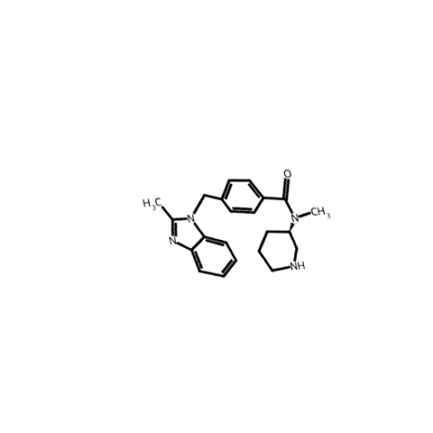 Cc1nc2ccccc2n1Cc1ccc(C(=O)N(C)[C@@H]2CCCNC2)cc1